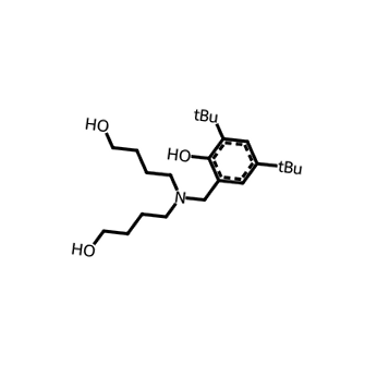 CC(C)(C)c1cc(CN(CCCCO)CCCCO)c(O)c(C(C)(C)C)c1